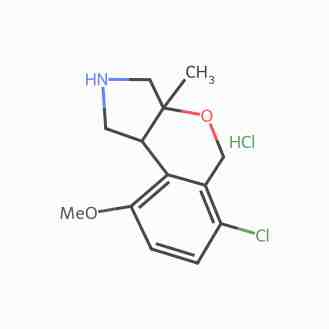 COc1ccc(Cl)c2c1C1CNCC1(C)OC2.Cl